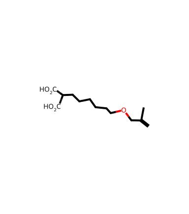 C=C(C)COCCCCCCC(C(=O)O)C(=O)O